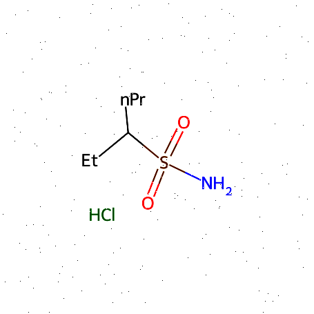 CCCC(CC)S(N)(=O)=O.Cl